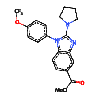 COC(=O)c1ccc2c(c1)nc(N1CCCC1)n2-c1ccc(OC(F)(F)F)cc1